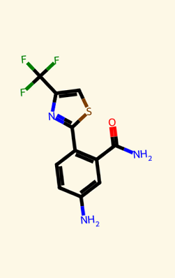 NC(=O)c1cc(N)ccc1-c1nc(C(F)(F)F)cs1